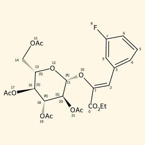 CCOC(=O)C(=Cc1cccc(F)c1)O[C@H]1O[C@@H](COC(C)=O)[C@H](OC(C)=O)[C@@H](OC(C)=O)[C@@H]1OC(C)=O